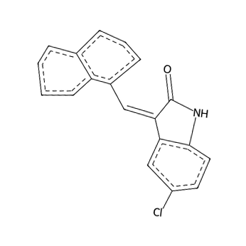 O=C1Nc2ccc(Cl)cc2C1=Cc1cccc2ccccc12